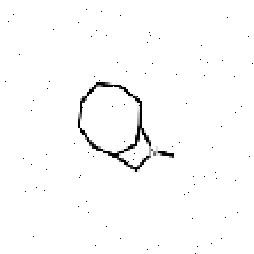 CN1CC2CCCCCCC1C2